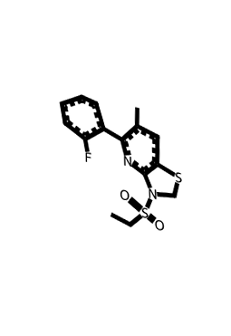 CCS(=O)(=O)N1CSc2cc(C)c(-c3ccccc3F)nc21